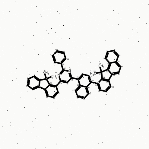 CC1(C)c2ccccc2-c2cccc(-c3cc(-c4ccc(-c5cccc6c5C(C)(C)c5c-6ccc6ccccc56)c5ccccc45)nc(-c4ccccc4)n3)c21